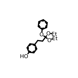 CCOC(CCc1ccc(O)cc1)(OCC)Oc1ccccc1